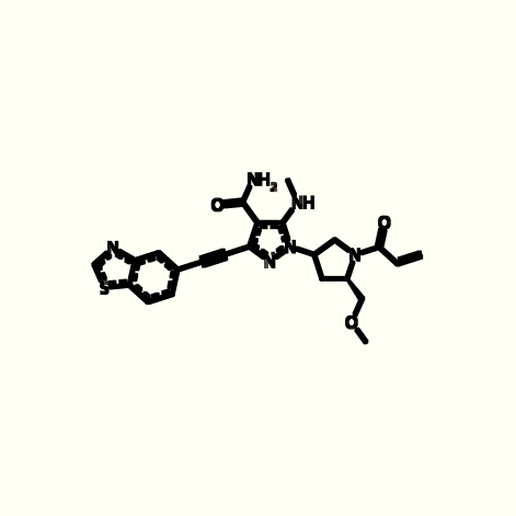 C=CC(=O)N1CC(n2nc(C#Cc3ccc4scnc4c3)c(C(N)=O)c2NC)C[C@@H]1COC